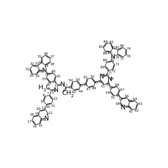 C=C(/N=C(\N=C(/C)c1ccc(-c2cnc3ccccc3c2)cc1)c1ccc(-n2c3ccccc3c3ccccc32)cc1)c1ccc(-c2ccc(-c3cc(-c4ccc(-c5cnc6ccccc6c5)cc4)nc(-c4ccc(-n5c6ccccc6c6ccccc65)cc4)n3)cc2)cc1